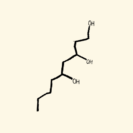 CCCCC(O)CC(O)[CH]CO